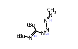 C/N=N/N=N\C(=N\C(C)(C)C)C(C)(C)C